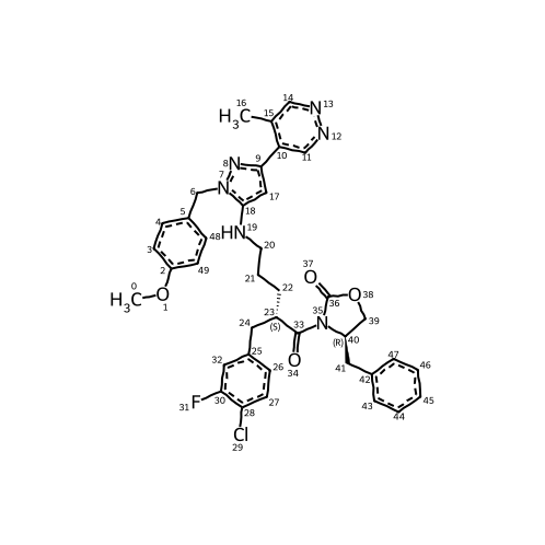 COc1ccc(Cn2nc(-c3cnncc3C)cc2NCCC[C@@H](Cc2ccc(Cl)c(F)c2)C(=O)N2C(=O)OC[C@H]2Cc2ccccc2)cc1